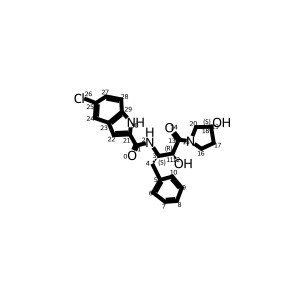 O=C(N[C@@H](Cc1ccccc1)[C@@H](O)C(=O)N1CC[C@H](O)C1)c1cc2cc(Cl)ccc2[nH]1